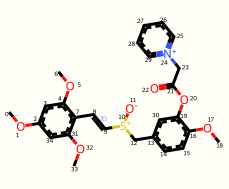 COc1cc(OC)c(/C=C/[S+]([O-])Cc2ccc(OC)c(OC(=O)C[n+]3ccccc3)c2)c(OC)c1